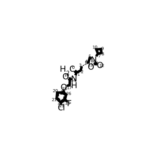 C=C(CC[C@@H]1CN(C2CCC2)C(=O)O1)NC(=O)COc1ccc(Cl)c(F)c1